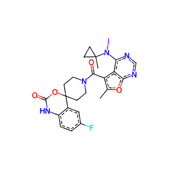 Cc1oc2ncnc(N(I)C3(C)CC3)c2c1C(=O)N1CCC2(CC1)OC(=O)Nc1ccc(F)cc12